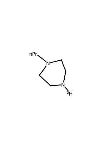 [2H]N1CCN(CCC)CC1